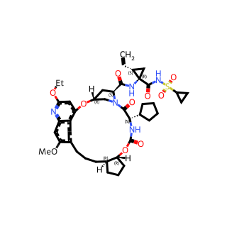 C=C[C@@H]1C[C@]1(NC(=O)[C@@H]1C[C@@H]2CN1C(=O)[C@H](C1CCCC1)NC(=O)O[C@@H]1CCC[C@H]1CCCc1cc3c(cc(OCC)nc3cc1OC)O2)C(=O)NS(=O)(=O)C1CC1